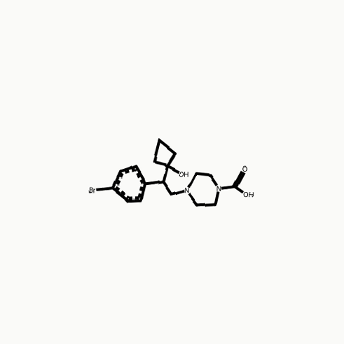 O=C(O)N1CCN(CC(c2ccc(Br)cc2)C2(O)CCC2)CC1